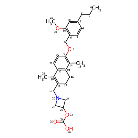 CCCc1ccc(COc2ccc3c(c2C)CCC(CN2CC(OC(=O)O)C2)=C3C)c(OC)c1